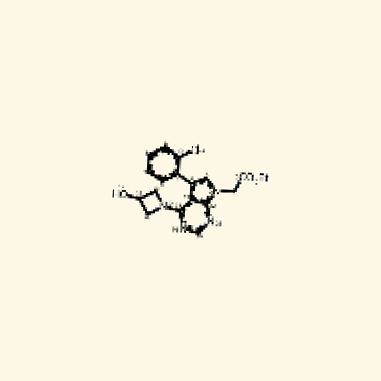 CCOC(=O)Cn1cc(-c2ccccc2Cl)c2c(N3CC(O)C3)ncnc21